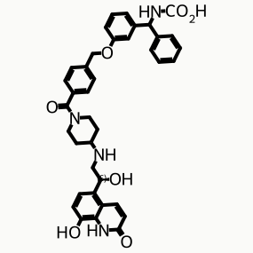 O=C(O)NC(c1ccccc1)c1cccc(OCc2ccc(C(=O)N3CCC(NC[C@@H](O)c4ccc(O)c5[nH]c(=O)ccc45)CC3)cc2)c1